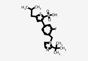 CC(C)Cc1cc(-c2ccc(Cn3ccnc3C(C)(C)C)c(F)c2)c(S(=O)(=O)O)s1